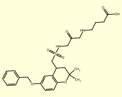 CC1(C)CC(CS(=O)(=O)NCC(=O)CNCCCC(=O)O)c2cc(OCc3ccccc3)ccc2O1